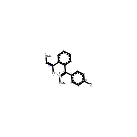 CO/C=C(/C(=O)O)c1ccccc1/C(=N/OC)c1ccc(Cl)cc1